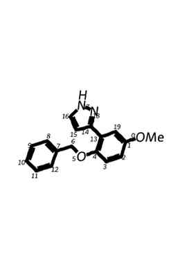 COc1ccc(OCc2ccccc2)c(-c2cc[nH]n2)c1